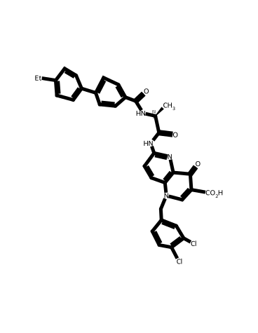 CCc1ccc(-c2ccc(C(=O)N[C@@H](C)C(=O)Nc3ccc4c(n3)c(=O)c(C(=O)O)cn4Cc3ccc(Cl)c(Cl)c3)cc2)cc1